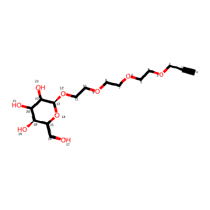 C#CCOCCOCCOCCO[C@H]1OC(CO)[C@@H](O)C(O)C1O